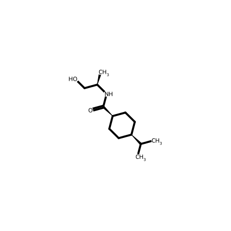 CC(C)[C@H]1CC[C@@H](C(=O)N[C@H](C)CO)CC1